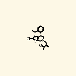 C=C(CN1Cc2sc(Cl)cc2[C@H](c2ccccc2CC)C1)C(C)=O